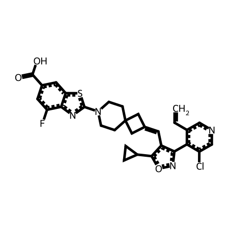 C=Cc1cncc(Cl)c1-c1noc(C2CC2)c1C=C1CC2(CCN(c3nc4c(F)cc(C(=O)O)cc4s3)CC2)C1